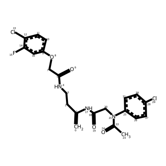 C=C(CCNC(=O)COc1ccc(Cl)c(F)c1)NC(=O)CN(C(C)=O)c1ccc(Cl)cc1